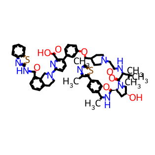 Cc1ncsc1-c1ccc(C(C)NC(=O)[C@@H]2C[C@@H](O)CN2C(=O)C(NC(=O)CN2CCC(COc3cccc(-c4ccc(N5CCc6cccc(C(=O)Nc7nc8ccccc8s7)c6C5)nc4C(=O)O)c3C)CC2)C(C)(C)C)cc1